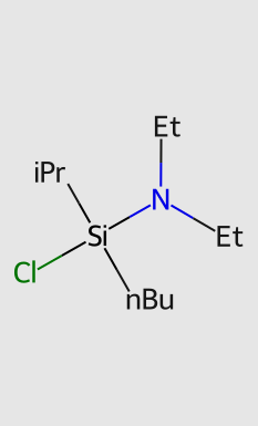 CCCC[Si](Cl)(C(C)C)N(CC)CC